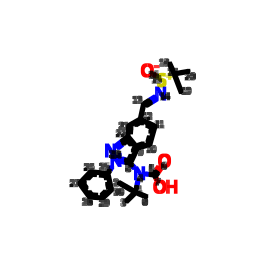 CC(C)(C)N(C(=O)O)c1c2ccc(C=N[S+]([O-])C(C)(C)C)cc2nn1-c1ccccc1